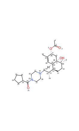 CC(=O)O[C@@H]1[C][C@@]2(O)[C@H](C)CC[C@@H]([C@H](C)CN3CCN(C(=O)C4CCCC4)CC3)[C@H]2C=C1C